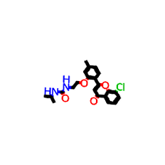 Cc1ccc(-c2cc(=O)c3cccc(Cl)c3o2)c(OCCNC(=O)NC(C)C)c1